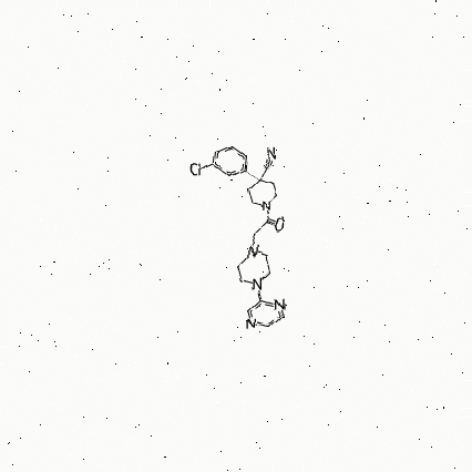 N#CC1(c2cccc(Cl)c2)CCN(C(=O)CN2CCN(c3cnccn3)CC2)CC1